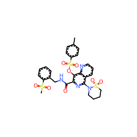 Cc1ccc(S(=O)(=O)Oc2c(C(=O)NCc3ccccc3S(C)(=O)=O)nc(N3CCCCS3(=O)=O)c3cccnc23)cc1